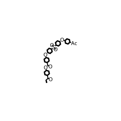 C=CC(=O)c1ccc(OC(=O)c2ccc(Oc3ccc(S(=O)(=O)c4ccc(Oc5ccc(C(C)=O)cc5)cc4)cc3)cc2)cc1